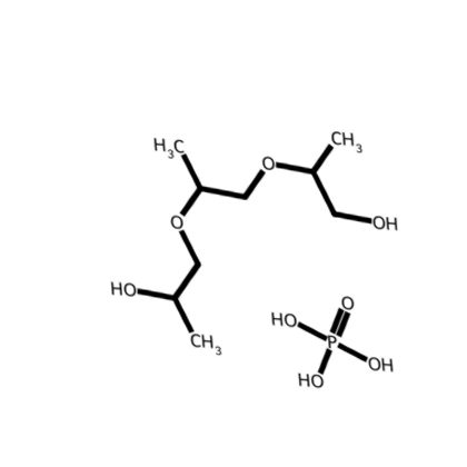 CC(O)COC(C)COC(C)CO.O=P(O)(O)O